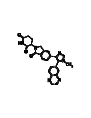 Cn1cnc(-c2ccc3c(c2)CN(C2CCC(=O)NC2=O)C3=O)c1-c1ccc2nccnc2c1